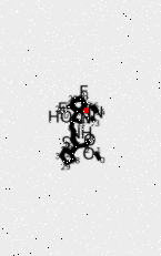 CCOC(=O)c1c(NCC(O)(Cn2cncn2)c2ccc(F)cc2F)sc2c1CCC2